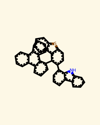 c1ccc2c(c1)[nH]c1c(-c3ccc4sc5ccccc5c4c3-c3cccc4c5ccccc5c5ccccc5c34)cccc12